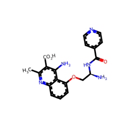 Cc1nc2cccc(OC[C@H](N)NC(=O)c3ccncc3)c2c(N)c1C(=O)O